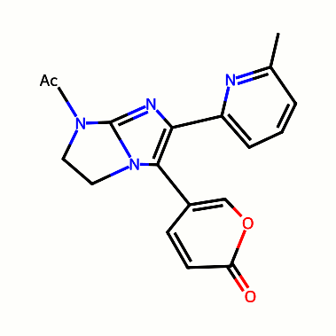 CC(=O)N1CCn2c1nc(-c1cccc(C)n1)c2-c1ccc(=O)oc1